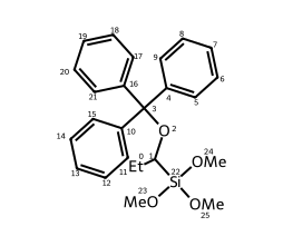 CCC(OC(c1ccccc1)(c1ccccc1)c1ccccc1)[Si](OC)(OC)OC